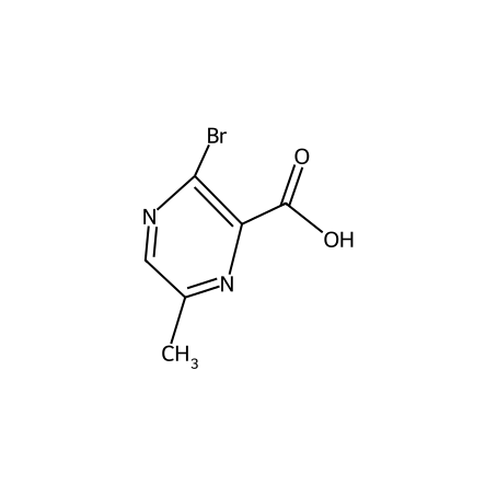 Cc1cnc(Br)c(C(=O)O)n1